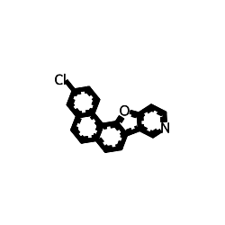 Clc1ccc2c(ccc3ccc4c5cnccc5oc4c32)c1